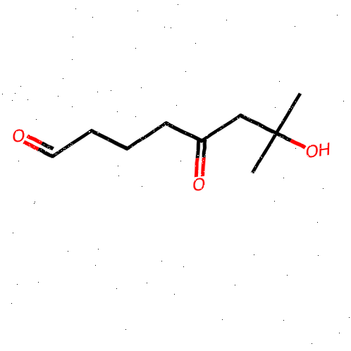 CC(C)(O)CC(=O)CCCC=O